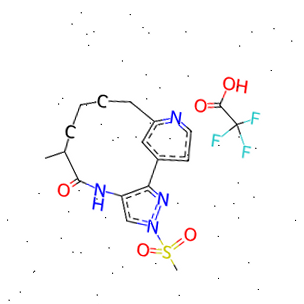 CC1CCCCc2cc(ccn2)-c2nn(S(C)(=O)=O)cc2NC1=O.O=C(O)C(F)(F)F